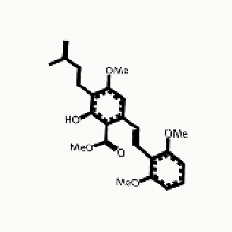 C=C(C)CCc1c(OC)cc(C=Cc2c(OC)cccc2OC)c(C(=O)OC)c1O